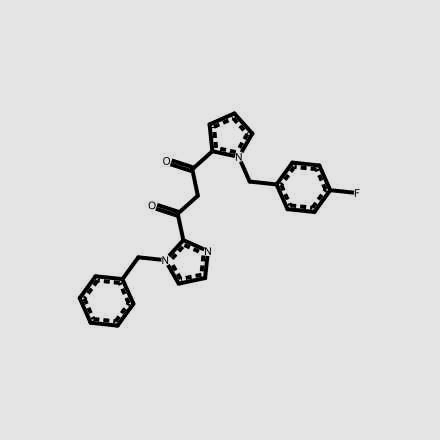 O=C(CC(=O)c1nccn1Cc1ccccc1)c1cccn1Cc1ccc(F)cc1